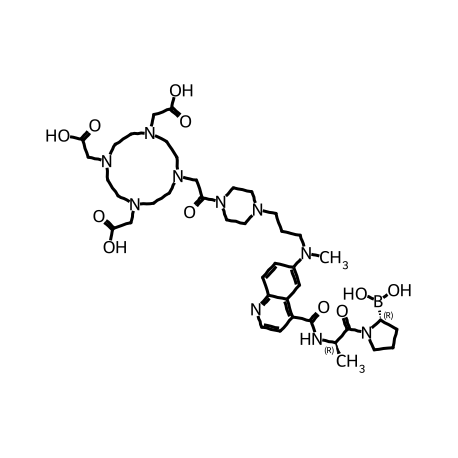 C[C@@H](NC(=O)c1ccnc2ccc(N(C)CCCN3CCN(C(=O)CN4CCN(CC(=O)O)CCN(CC(=O)O)CCN(CC(=O)O)CC4)CC3)cc12)C(=O)N1CCC[C@H]1B(O)O